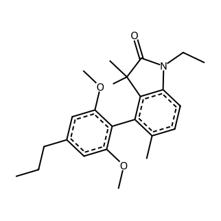 CCCc1cc(OC)c(-c2c(C)ccc3c2C(C)(C)C(=O)N3CC)c(OC)c1